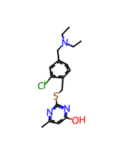 CCN(CC)Cc1ccc(CSc2nc(C)cc(O)n2)c(Cl)c1